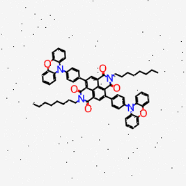 CCCCCCCCN1C(=O)c2cc(-c3ccc(N4c5ccccc5Oc5ccccc54)cc3)c3c4c(cc(-c5ccc(N6c7ccccc7Oc7ccccc76)cc5)c(c24)C1=O)C(=O)N(CCCCCCCC)C3=O